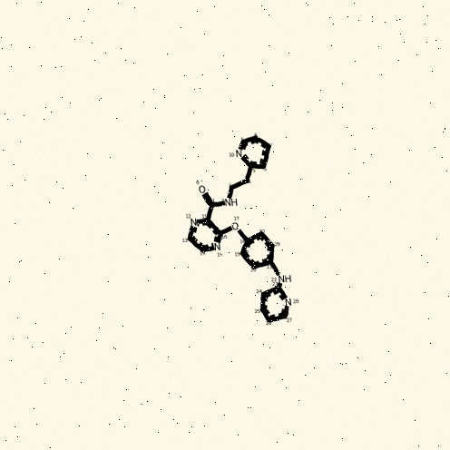 O=C(NCCc1ccccn1)c1nccnc1Oc1ccc(Nc2ccccn2)cc1